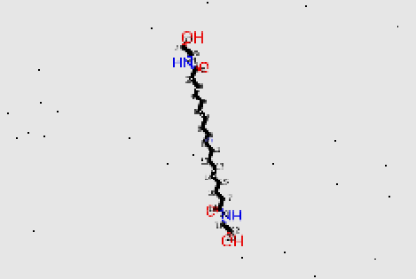 O=C(CCCCCCC/C=C/CCCCCCCC(=O)NCCO)NCCO